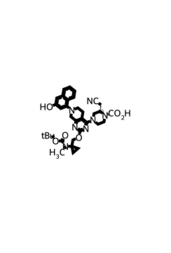 CN(C(=O)OC(C)(C)C)C1(COc2nc3c(c(N4CCN(C(=O)O)[C@@H](CC#N)C4)n2)CCN(c2cc(O)cc4ccccc24)C3)CC1